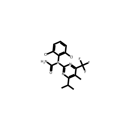 Cc1c(C(C)C)nc(N(C(N)=O)c2c(Cl)cccc2Cl)nc1C(F)(F)F